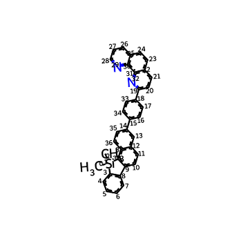 C[Si]1(C)c2ccccc2-c2ccc3cc(-c4ccc(-c5ccc6ccc7cccnc7c6n5)cc4)ccc3c21